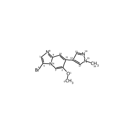 COc1cn2c(Br)cnc2cc1-c1cnn(C)c1